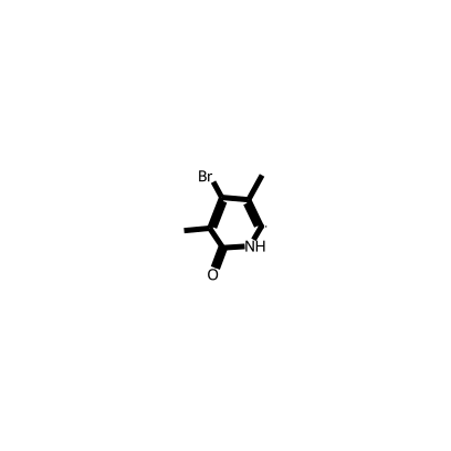 Cc1[c][nH]c(=O)c(C)c1Br